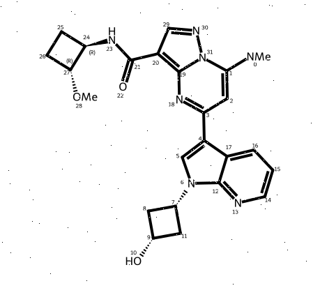 CNc1cc(-c2cn([C@H]3C[C@@H](O)C3)c3ncccc23)nc2c(C(=O)N[C@@H]3CC[C@H]3OC)cnn12